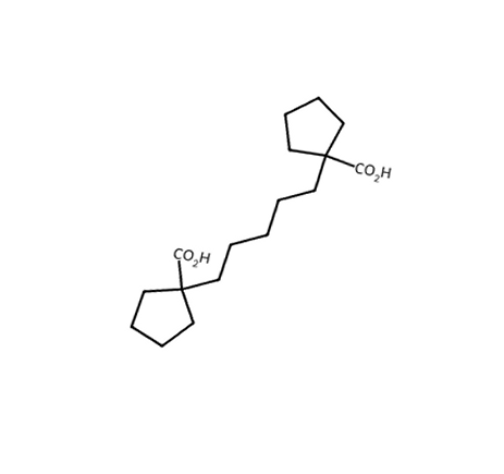 O=C(O)C1(CCCCCC2(C(=O)O)CCCC2)CCCC1